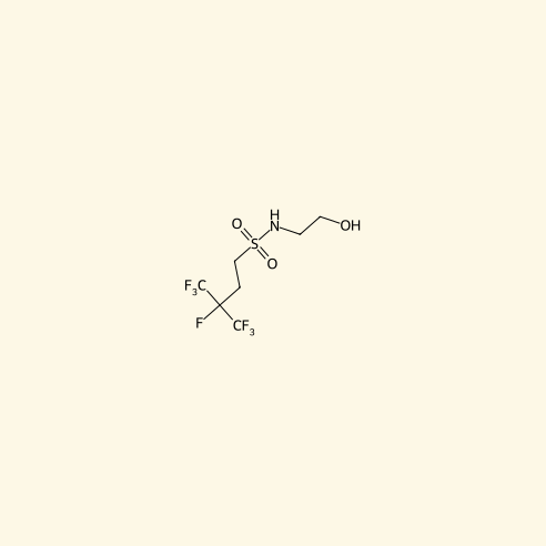 O=S(=O)(CCC(F)(C(F)(F)F)C(F)(F)F)NCCO